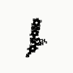 CCn1c(-c2ccc(S(=O)(=O)N3CCCCC3)cc2)nnc1C(S)c1ccc(C#N)cc1